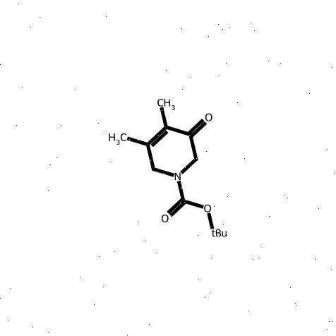 CC1=C(C)C(=O)CN(C(=O)OC(C)(C)C)C1